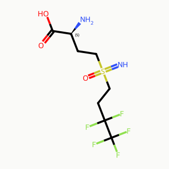 N=S(=O)(CC[C@H](N)C(=O)O)CCC(F)(F)C(F)(F)F